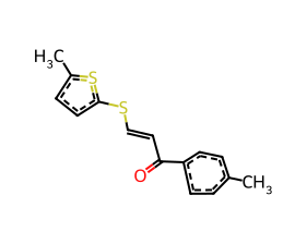 Cc1ccc(C(=O)/C=C/Sc2ccc(C)s2)cc1